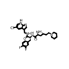 N[C@H](CCCCN1CCCCC1)C(=O)N[C@@H](Cc1ccc(F)c(F)c1)C(=O)NCc1cnc2[nH]cc(Cl)cc1-2